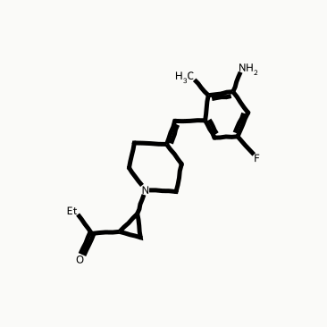 CCC(=O)C1CC1N1CCC(=Cc2cc(F)cc(N)c2C)CC1